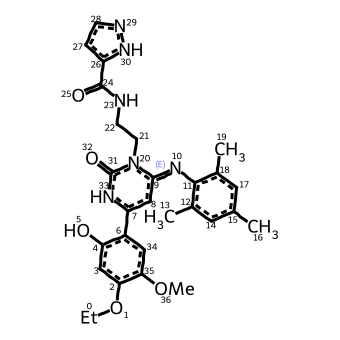 CCOc1cc(O)c(-c2c/c(=N\c3c(C)cc(C)cc3C)n(CCNC(=O)c3ccn[nH]3)c(=O)[nH]2)cc1OC